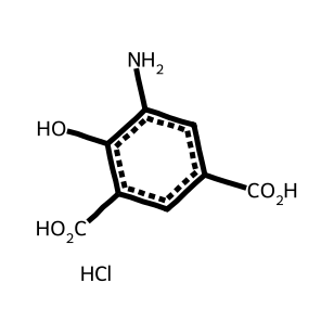 Cl.Nc1cc(C(=O)O)cc(C(=O)O)c1O